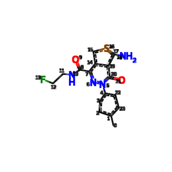 Cc1ccc(-n2nc(C(=O)NCCF)c3csc(N)c3c2=O)cc1